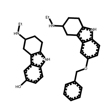 CCNC1CCc2[nH]c3ccc(O)cc3c2C1.CCNC1CCc2[nH]c3ccc(OCc4ccccc4)cc3c2C1